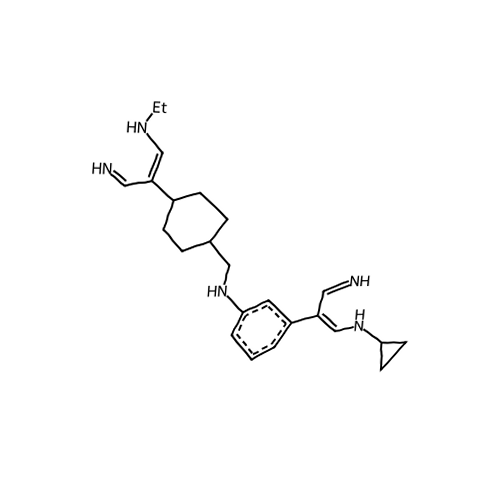 CCN/C=C(\C=N)C1CCC(CNc2cccc(/C(C=N)=C/NC3CC3)c2)CC1